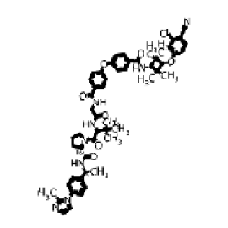 Cc1nccn1-c1ccc([C@H](C)NC(=O)[C@@H]2CCCN2C(=O)C(NC(=O)CNC(=O)c2ccc(Oc3ccc(C(=O)N[C@H]4C(C)(C)[C@H](Oc5ccc(C#N)c(Cl)c5)C4(C)C)cc3)cc2)C(C)(C)C)cc1